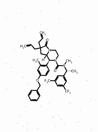 C=CCC1(CC=C)C[C@H]2[C@H](c3ccc(OCc4ccccc4)cc3C)N(C(=O)N(C)[C@H](C)c3cc(C(F)(F)F)cc(C(F)(F)F)c3)CCN2C1=O